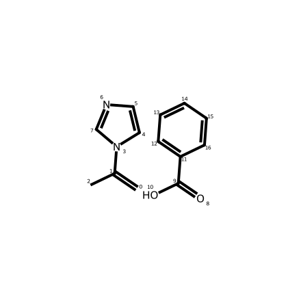 C=C(C)n1ccnc1.O=C(O)c1ccccc1